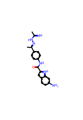 CC(=N)N/N=C(\C)c1ccc(NC(=O)c2cc3ccc(N)cc3[nH]2)cc1